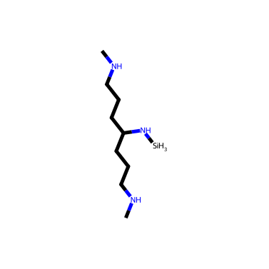 CNCCCC(CCCNC)N[SiH3]